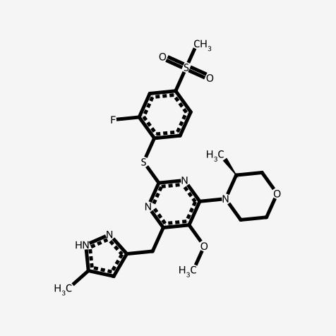 COc1c(Cc2cc(C)[nH]n2)nc(Sc2ccc(S(C)(=O)=O)cc2F)nc1N1CCOC[C@@H]1C